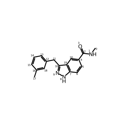 CNC(=O)c1ccc2[nH]nc(Cc3cccc(C)c3)c2c1